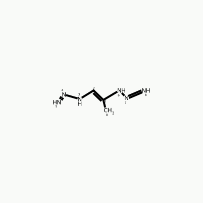 C/C(=C\NN=N)NN=N